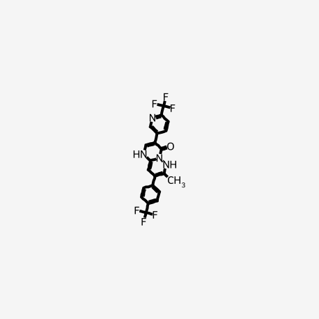 CC1=C(c2ccc(C(F)(F)F)cc2)C=C2NC=C(c3ccc(C(F)(F)F)nc3)C(=O)N2N1